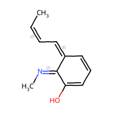 C\C=C/C=C1/C=CC=C(O)/C1=N\C